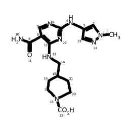 Cn1cc(Nc2ncc(C(N)=O)c(NCC3CCN(C(=O)O)CC3)n2)cn1